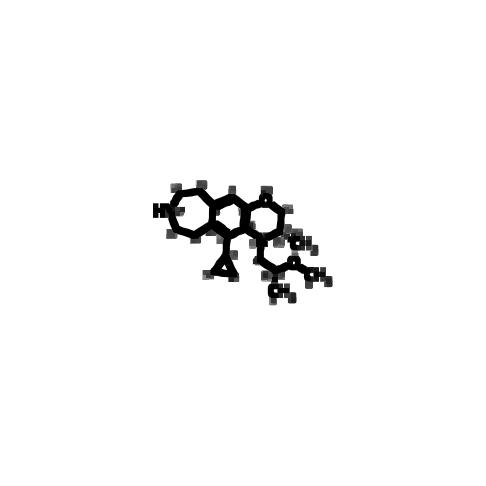 CO[C@H](C)CN1c2c(cc3c(c2C2CC2)CCNCC3)OC[C@@H]1C